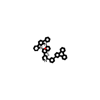 C1=Cc2c(n(-c3ccc4sc5c(-c6cccc(-c7ccc8c9ccccc9c9ccccc9c8c7)c6)nccc5c4c3)c3c2ccc2c4ccccc4n(-c4ccccc4)c23)CC1